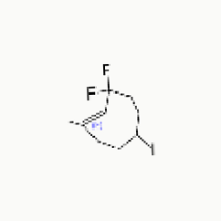 C/C1=C\C(F)(F)CCC(I)CC1